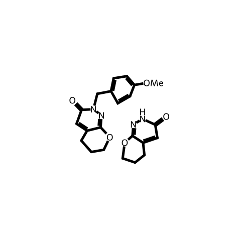 COc1ccc(Cn2nc3c(cc2=O)CCCO3)cc1.O=c1cc2c(n[nH]1)OCCC2